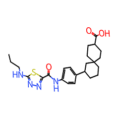 CCCNc1nnc(C(=O)Nc2ccc(C3CCCC4(CCC(C(=O)O)CC4)C3)cc2)s1